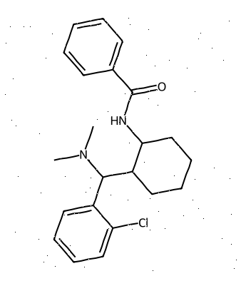 CN(C)C(c1ccccc1Cl)C1CCCCC1NC(=O)c1ccccc1